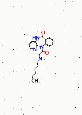 CCCCCCN=CC(=O)N1c2ccccc2C(=O)Nc2cccnc21